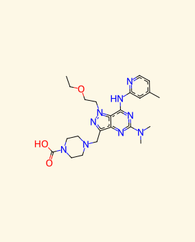 CCOCCn1nc(CN2CCN(C(=O)O)CC2)c2nc(N(C)C)nc(Nc3cc(C)ccn3)c21